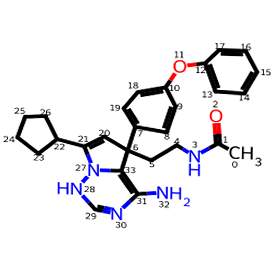 CC(=O)NCCC1(c2ccc(Oc3ccccc3)cc2)C=C(C2CCCC2)N2NC=NC(N)=C21